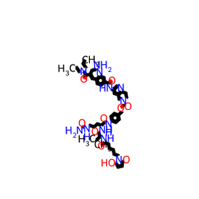 CCCN(CCC)C(=O)C1=Cc2ccc(C(=O)Nc3cnc4c(c3)CN(C(=O)OCc3ccc(NC(=O)C(CCCNC(N)=O)NC(=O)C(NC(=O)CCCCCN5C(=O)C=CC5O)C(C)C)cc3)CC4)cc2N=C(N)C1